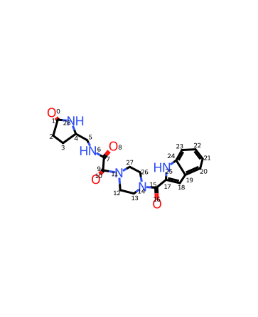 O=C1CCC(CNC(=O)C(=O)N2CCN(C(=O)c3cc4ccccc4[nH]3)CC2)N1